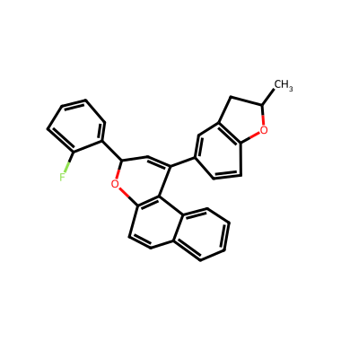 CC1Cc2cc(C3=CC(c4ccccc4F)Oc4ccc5ccccc5c43)ccc2O1